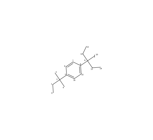 CCC(C)(C)c1ccc(C(I)(CC)CC)cc1